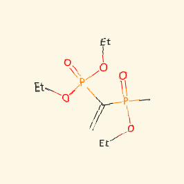 C=C(P(C)(=O)OCC)P(=O)(OCC)OCC